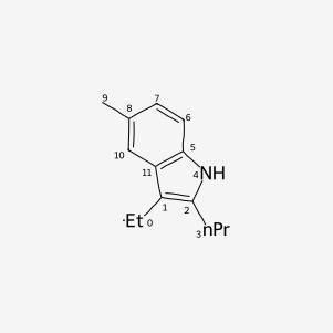 C[CH]c1c(CCC)[nH]c2ccc(C)cc12